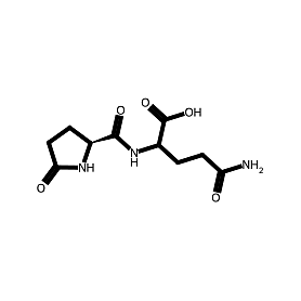 NC(=O)CCC(NC(=O)[C@@H]1CCC(=O)N1)C(=O)O